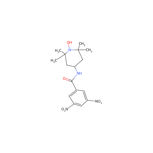 CC1(C)CC(NC(=O)c2cc([N+](=O)[O-])cc([N+](=O)[O-])c2)CC(C)(C)N1O